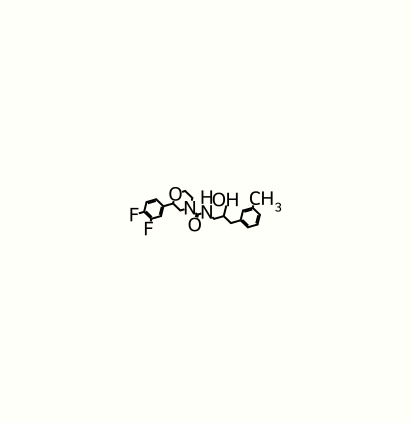 Cc1cccc(CC(CO)CNC(=O)N2CCOC(c3ccc(F)c(F)c3)C2)c1